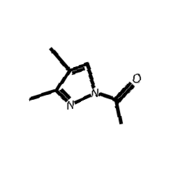 CC(=O)n1cc(C)c(C)n1